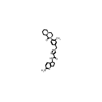 Cc1cc(Cn2cc(C(=O)NC3CCc4nc(N)ccc43)nn2)ccc1N1CCN2CCCCC2C1=O